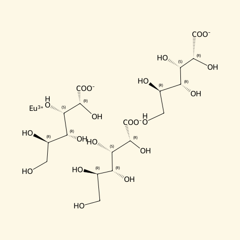 O=C([O-])[C@H](O)[C@@H](O)[C@H](O)[C@H](O)CO.O=C([O-])[C@H](O)[C@@H](O)[C@H](O)[C@H](O)CO.O=C([O-])[C@H](O)[C@@H](O)[C@H](O)[C@H](O)CO.[Eu+3]